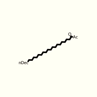 CCCCCCCCCCCCCCCCCCCCCCCCCCCCC(=O)C(C)=O